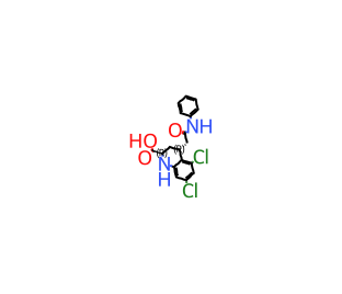 O=C(C[C@H]1C[C@H](C(=O)O)Nc2cc(Cl)cc(Cl)c21)Nc1ccccc1